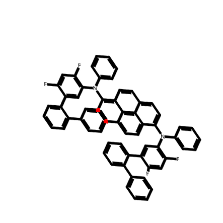 Fc1cc(F)c(N(c2ccccc2)c2ccc3ccc4c(N(c5ccccc5)c5cc(-c6ccccc6-c6ccccc6)c(F)cc5F)ccc5ccc2c3c54)cc1-c1ccccc1-c1ccccc1